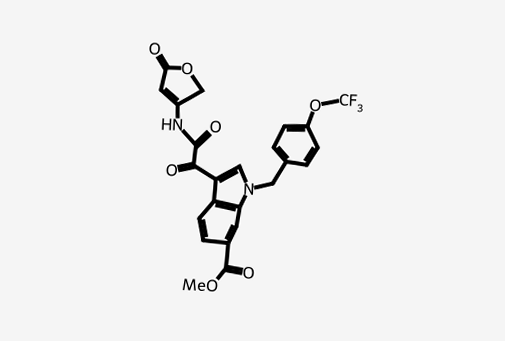 COC(=O)c1ccc2c(C(=O)C(=O)NC3=CC(=O)OC3)cn(Cc3ccc(OC(F)(F)F)cc3)c2c1